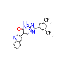 NC(=O)C(=Cn1cnc(-c2cc(C(F)(F)F)cc(C(F)(F)F)c2)n1)c1cnc2ccccc2c1